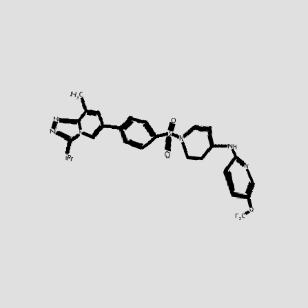 Cc1cc(-c2ccc(S(=O)(=O)N3CCC(Nc4ccc(OC(F)(F)F)cn4)CC3)cc2)cn2c(C(C)C)nnc12